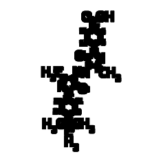 CC1=NN(c2ccc(C(=O)O)cc2)C(=O)C1N=NC1C(=O)N(c2ccc(C(C)(C)C)cc2)N=C1C